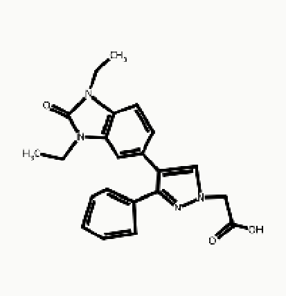 CCn1c(=O)n(CC)c2cc(-c3cn(CC(=O)O)nc3-c3ccccc3)ccc21